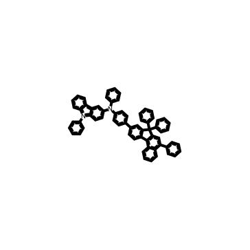 c1ccc(-c2cc3c(c4ccccc24)-c2ccc(-c4ccc(N(c5ccccc5)c5ccc6c(c5)c5ccccc5n6-c5ccccc5)cc4)cc2C3(c2ccccc2)c2ccccc2)cc1